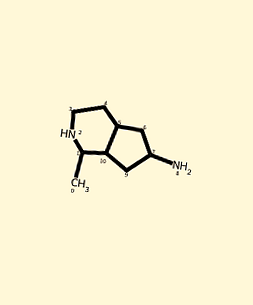 CC1NCCC2CC(N)CC21